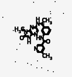 Cc1cncc(C(=O)Nc2cccc([C@H](C)Nc3cnc4[nH]c(=O)n(C)c4n3)c2)c1